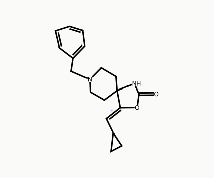 O=C1NC2(CCN(Cc3ccccc3)CC2)/C(=C/C2CC2)O1